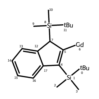 CC(C)(C)[Si](C)(C)C1=[C]([Gd])C([Si](C)(C)C(C)(C)C)c2ccccc21